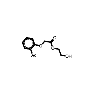 CC(=O)c1ccccc1OCC(=O)OCCO